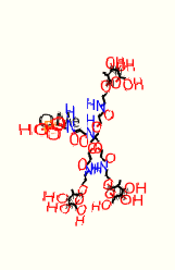 COP(=O)(O)OCNC(=O)CC(=O)NC(COCCC(=O)NCCCO[C@@H]1OC(CO)[C@H](O)[C@H](O)C1C)(COCCC(=O)NCCCO[C@@H]1OC(CO)[C@H](O)[C@H](O)C1C)COCCC(=O)NCCCO[C@@H]1OC(CO)[C@H](O)[C@H](O)C1C